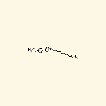 CCCCCCCCCCC[n+]1ccc(-c2cc[n+](CC)cc2)cc1